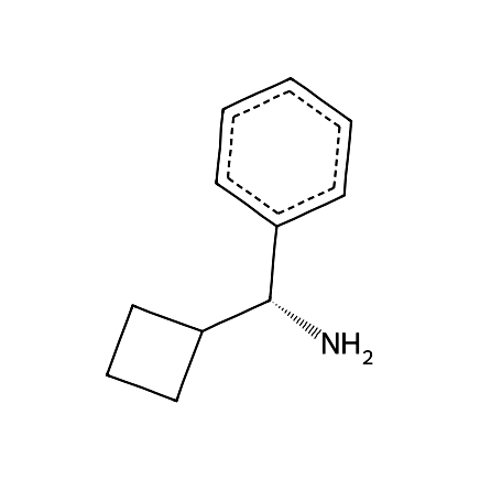 N[C@@H](c1ccccc1)C1CCC1